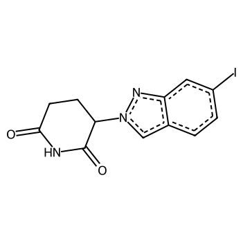 O=C1CCC(n2cc3ccc(I)cc3n2)C(=O)N1